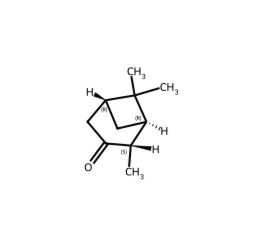 C[C@@H]1C(=O)C[C@H]2C[C@H]1C2(C)C